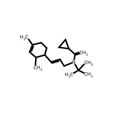 C=C(C1CC1)N(C/C=C/C1CCC(C)=CC1C)C(C)(C)C